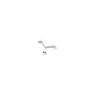 C=CO.[Ag]